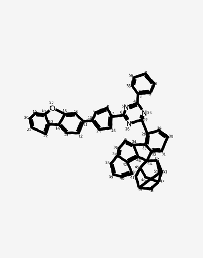 c1ccc(-c2nc(-c3ccc(-c4ccc5c(c4)oc4ccccc45)cc3)nc(-c3cccc4c3-c3ccc5ccccc5c3C43C4CC5CC(C4)CC3C5)n2)cc1